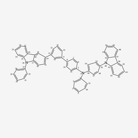 c1ccc(N(c2ccc(-c3cccc(-c4ccc5c(c4)c4ccccc4n5-c4ccccc4)c3)cc2)c2ccc(-n3c4ccccc4c4ccccc43)cc2)cc1